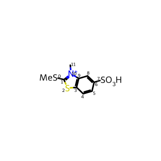 CSc1sc2ccc(S(=O)(=O)O)cc2[n+]1C